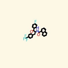 O=C(NC(Cc1ccc(C(F)(F)F)cc1)C(=O)c1ccc(F)cc1)c1cccc2ccccc12